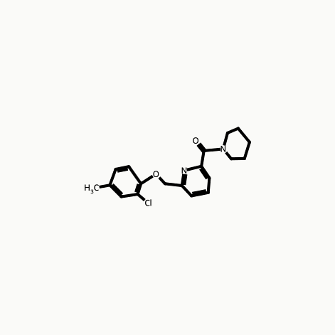 Cc1ccc(OCc2cccc(C(=O)N3CCCCC3)n2)c(Cl)c1